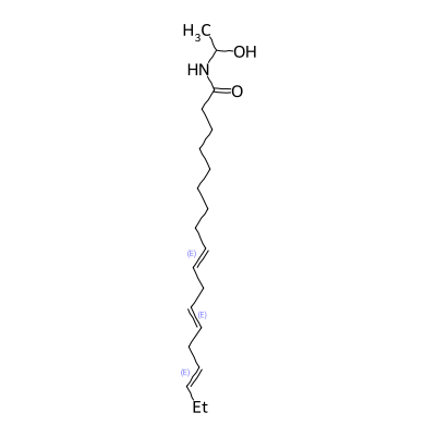 CC/C=C/C/C=C/C/C=C/CCCCCCCC(=O)NC(C)O